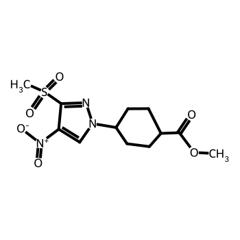 COC(=O)C1CCC(n2cc([N+](=O)[O-])c(S(C)(=O)=O)n2)CC1